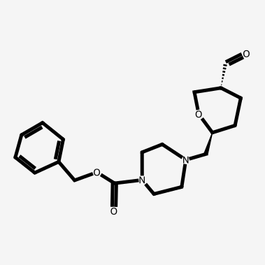 O=C[C@@H]1CC[C@@H](CN2CCN(C(=O)OCc3ccccc3)CC2)OC1